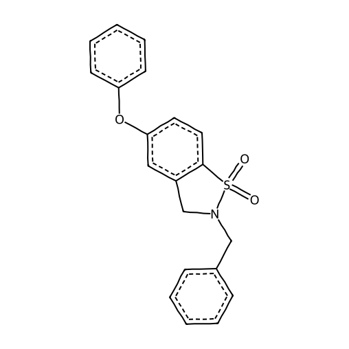 O=S1(=O)c2ccc(Oc3ccccc3)cc2CN1Cc1ccccc1